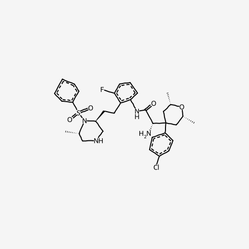 C[C@@H]1CC(c2ccc(Cl)cc2)([C@H](N)C(=O)Nc2cccc(F)c2CC[C@H]2CNC[C@H](C)N2S(=O)(=O)c2ccccc2)C[C@H](C)O1